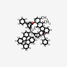 CC1C=CC2(C)C3=C1C(C)C1=C(C3C)C3(c4ccccc41)c1cc(ccc1-c1c(-c4ccccc4)cccc13)N(c1ccc3c(c1)C1(c4ccccc4-c4ccccc41)c1ccccc1-3)c1cc(-c3ccccc3)cc2c1